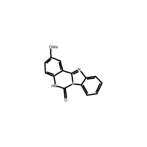 COc1ccc2[nH]c(=O)n3c4ccccc4nc3c2c1